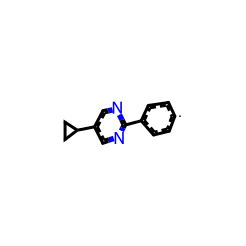 [c]1ccc(-c2ncc(C3CC3)cn2)cc1